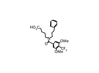 COc1cc(C(=O)N(CCCCC(=O)O)CCCc2ccccc2)cc(OC)c1C(F)(F)F